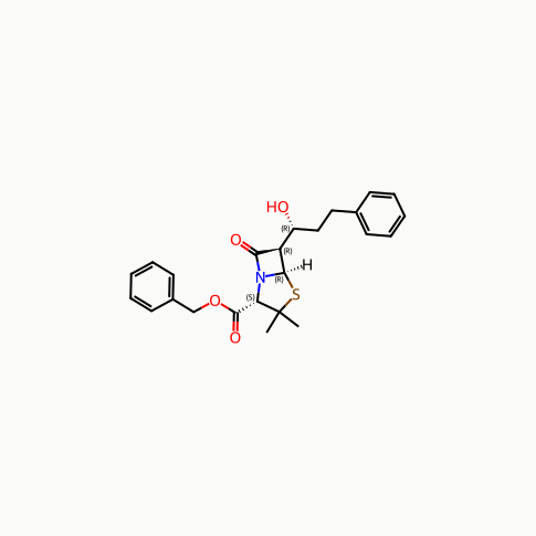 CC1(C)S[C@@H]2[C@H]([C@H](O)CCc3ccccc3)C(=O)N2[C@H]1C(=O)OCc1ccccc1